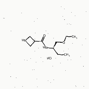 CCOC[C@@H](CC)NC(=O)C1CNC1.Cl